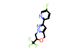 Fc1ccc(-c2cc3n(n2)CC(C(F)(F)F)OC3)nc1